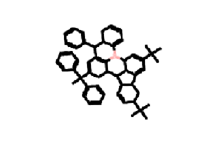 CC(C)(C)C1=CC2B3C4=CC=CCC4C(c4ccccc4)C4=C3C(CC(C(C)(c3ccccc3)c3ccccc3)=C4)C3C4C=CC(C(C)(C)C)CC4C(=C1)C23